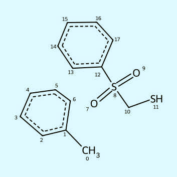 Cc1ccccc1.O=S(=O)(CS)c1ccccc1